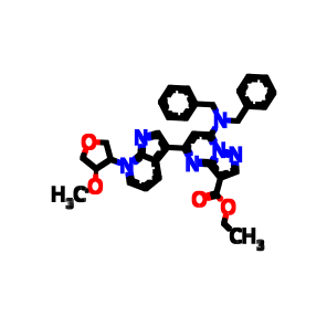 CCOC(=O)c1cnn2c(N(Cc3ccccc3)Cc3ccccc3)cc(-c3cnc4n(C5COC[C@@H]5OC)cccc3-4)nc12